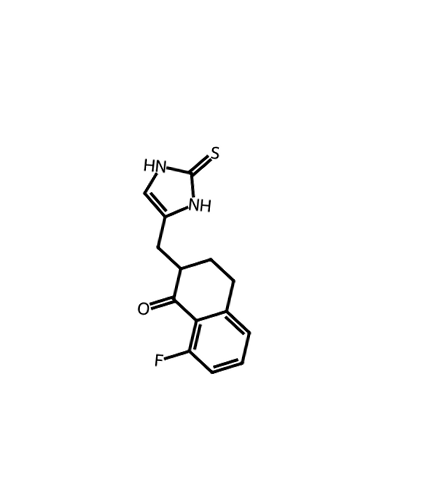 O=C1c2c(F)cccc2CCC1Cc1c[nH]c(=S)[nH]1